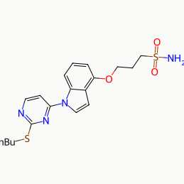 CCCCSc1nccc(-n2ccc3c(OCCCS(N)(=O)=O)cccc32)n1